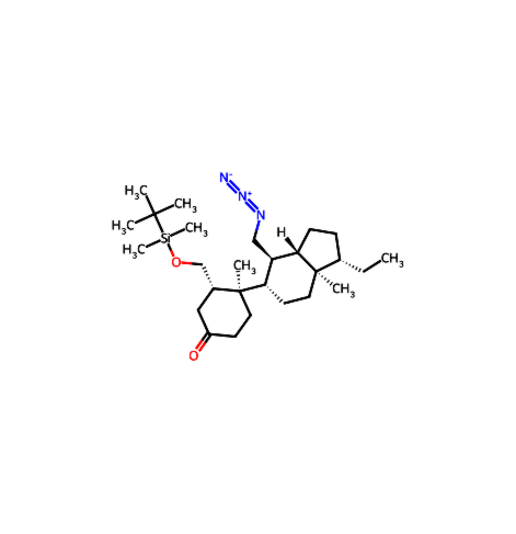 CC[C@H]1CC[C@H]2[C@H](CN=[N+]=[N-])[C@@H]([C@@]3(C)CCC(=O)C[C@@H]3CO[Si](C)(C)C(C)(C)C)CC[C@]12C